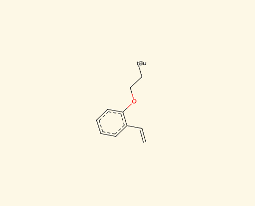 C=Cc1ccccc1OCCC(C)(C)C